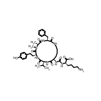 CC(C)[C@@H]1NC(=O)[C@H](NC(=O)N[C@H](CCCCN)C(=O)O)CCCCNC(=O)[C@H](Cc2ccccc2)NC(=O)[C@H](C)N(C)C(=O)[C@H](CCc2ccc(O)cc2)NC1=O